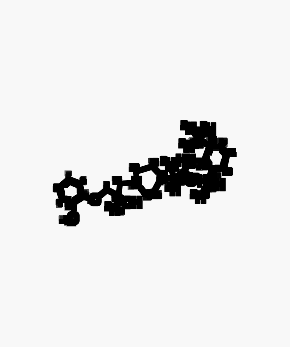 [2H]C(O)(COc1ccccc1OC)CN1CCN(C([2H])([2H])C(=O)Nc2c(C([2H])([2H])[2H])cccc2C([2H])([2H])[2H])CC1